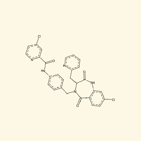 O=C(Nc1ccc(CN2C(=O)c3ccc(Cl)cc3NC(=O)C2Cc2ccccn2)cc1)c1cc(Cl)ccn1